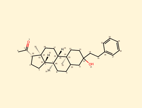 CC(=O)[C@H]1CC[C@H]2[C@@H]3CCC4CC(O)(CCc5ccccc5)CC[C@]4(C)[C@H]3CC[C@]12C